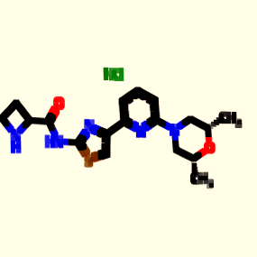 C[C@@H]1CN(c2cccc(-c3csc(NC(=O)C4CCN4)n3)n2)C[C@H](C)O1.Cl